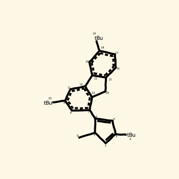 CC1C=C(C(C)(C)C)C=C1c1cc(C(C)(C)C)cc2c1[CH]c1ccc(C(C)(C)C)cc1-2